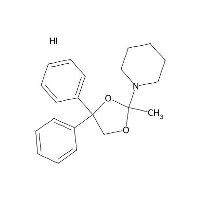 CC1(N2CCCCC2)OCC(c2ccccc2)(c2ccccc2)O1.I